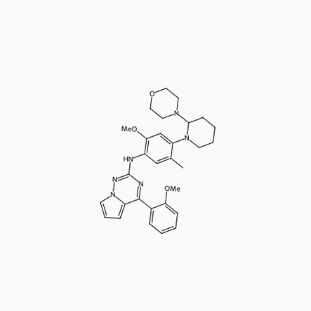 COc1cc(N2CCCCC2N2CCOCC2)c(C)cc1Nc1nc(-c2ccccc2OC)c2cccn2n1